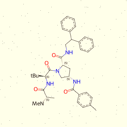 CN[C@@H](C)C(=O)N[C@H](C(=O)N1C[C@@H](NC(=O)c2ccc(C)cc2)C[C@H]1C(=O)NCC(c1ccccc1)c1ccccc1)C(C)(C)C